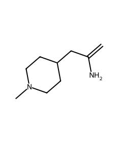 C=C(N)CC1CCN(C)CC1